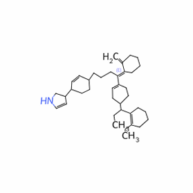 C=C1CCCC/C1=C(/CCCC1C=CC(C2C=CNC2)CC1)C1=CCC(C(CC)C2=C(CC)CCCC2)CC1